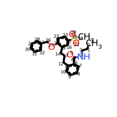 CCCNC(=O)c1ccccc1CCCc1cc(S(C)(=O)=O)ccc1OCc1ccccc1